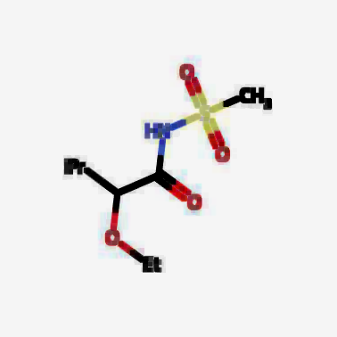 CCOC(C(=O)NS(C)(=O)=O)C(C)C